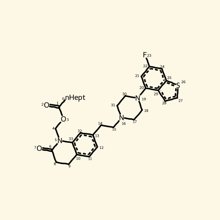 CCCCCCCC(=O)OCN1C(=O)CCc2ccc(CCN3CCN(c4cc(F)cc5sccc45)CC3)cc21